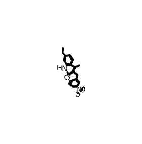 CCc1ccc2c(C)c(Cc3cccc([N+](=O)[O-])c3)c(=O)[nH]c2c1